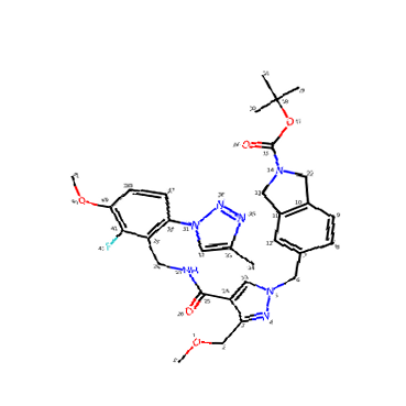 COCc1nn(Cc2ccc3c(c2)CN(C(=O)OC(C)(C)C)C3)cc1C(=O)NCc1c(-n2cc(C)nn2)ccc(OC)c1F